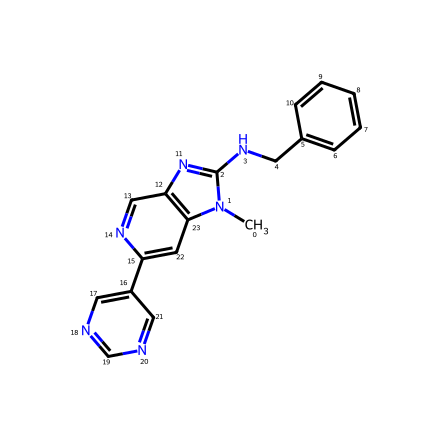 Cn1c(NCc2ccccc2)nc2cnc(-c3cncnc3)cc21